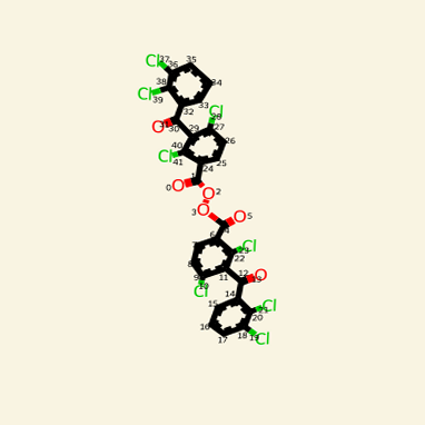 O=C(OOC(=O)c1ccc(Cl)c(C(=O)c2cccc(Cl)c2Cl)c1Cl)c1ccc(Cl)c(C(=O)c2cccc(Cl)c2Cl)c1Cl